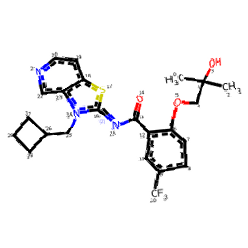 CC(C)(O)COc1ccc(C(F)(F)F)cc1C(=O)/N=c1\sc2ccncc2n1CC1CCC1